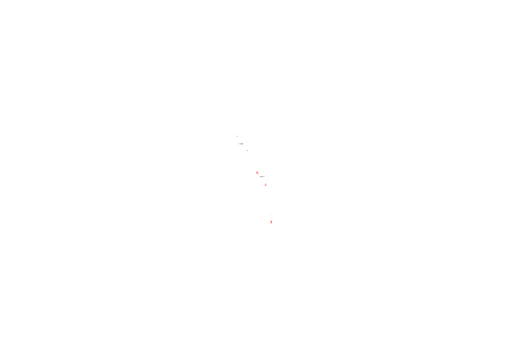 C=CC(=O)OCCCCCCOc1ccc(C(=O)Oc2ccc(C#Cc3ccc(CCCCCCC)cc3)cc2)cc1